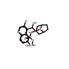 COc1ccc2ncc(Cl)c(C(O)CN3C4CCC3CC(NC(=O)OC(C)(C)C)C4)c2n1